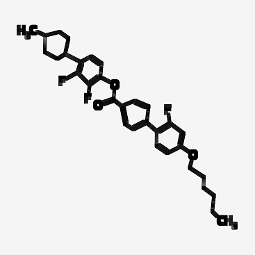 CCCCCCOc1ccc(-c2ccc(C(=O)Oc3ccc(C4CCC(C)CC4)c(F)c3F)cc2)c(F)c1